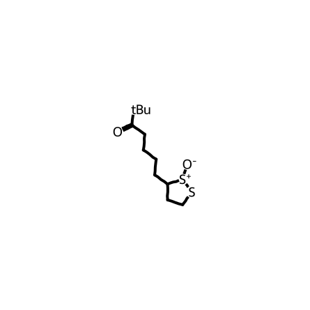 CC(C)(C)C(=O)CCCCC1CCS[S+]1[O-]